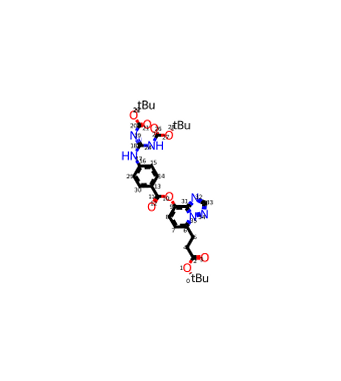 CC(C)(C)OC(=O)CCc1ccc(OC(=O)c2ccc(N/C(=N/C(=O)OC(C)(C)C)NC(=O)OC(C)(C)C)cc2)c2ncnn12